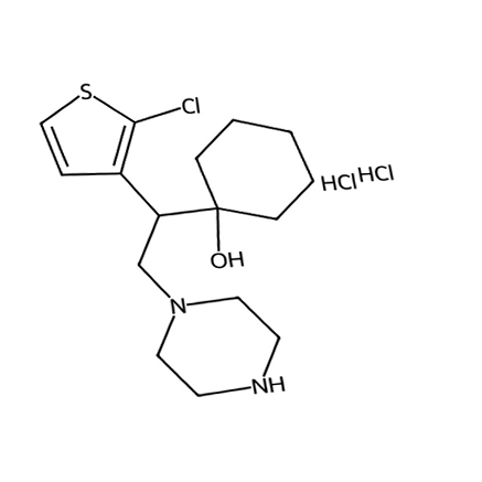 Cl.Cl.OC1(C(CN2CCNCC2)c2ccsc2Cl)CCCCC1